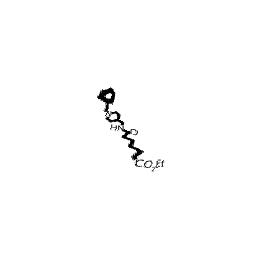 CCOC(=O)CCCCCC(=O)NCC1CCN(Cc2ccccc2)CC1